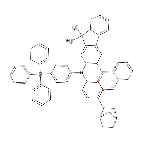 CC1(C)c2ccccc2-c2cc(-c3cccc4ccccc34)c(N(c3ccc(C4CC5CCC4C5)cc3)c3ccc([Si](c4ccccc4)(c4ccccc4)c4ccccc4)cc3)cc21